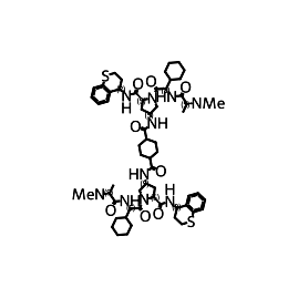 CN[C@@H](C)C(=O)N[C@H](C(=O)N1C[C@@H](NC(=O)C2CCC(C(=O)N[C@H]3C[C@@H](C(=O)N[C@@H]4CCSc5ccccc54)N(C(=O)[C@@H](NC(=O)[C@H](C)NC)C4CCCCC4)C3)CC2)C[C@H]1C(=O)N[C@@H]1CCSc2ccccc21)C1CCCCC1